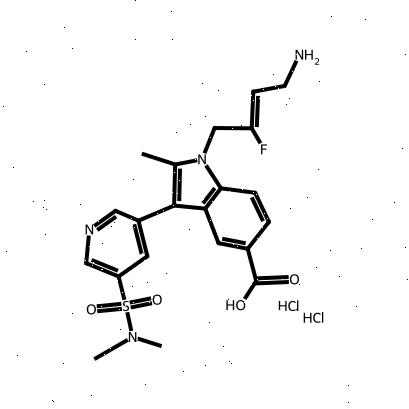 Cc1c(-c2cncc(S(=O)(=O)N(C)C)c2)c2cc(C(=O)O)ccc2n1CC(F)=CCN.Cl.Cl